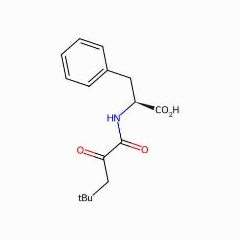 CC(C)(C)CC(=O)C(=O)N[C@@H](Cc1ccccc1)C(=O)O